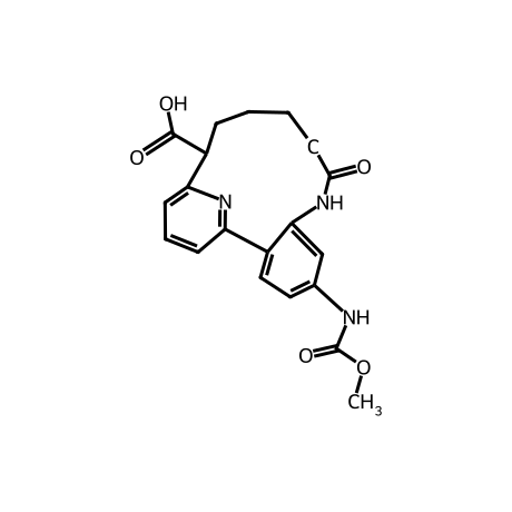 COC(=O)Nc1ccc2c(c1)NC(=O)CCCCC(C(=O)O)c1cccc-2n1